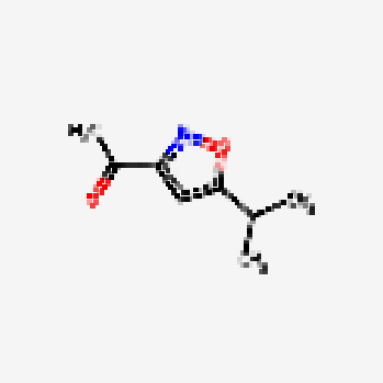 CC(=O)c1cc(C(C)C)on1